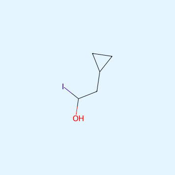 OC(I)CC1CC1